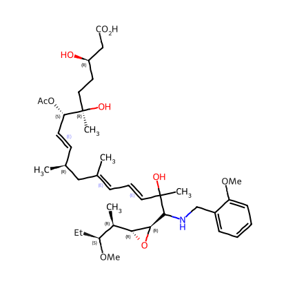 CC[C@H](OC)[C@@H](C)[C@H]1O[C@@H]1C(NCc1ccccc1OC)C(C)(O)/C=C/C=C(\C)C[C@@H](C)/C=C/[C@H](OC(C)=O)[C@](C)(O)CC[C@@H](O)CC(=O)O